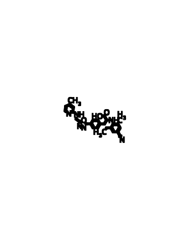 CCc1cc(C#N)cc(C)c1NC(Cc1ccc(-c2nnc(CNc3cc(C)ccn3)o2)cc1)C(=O)O